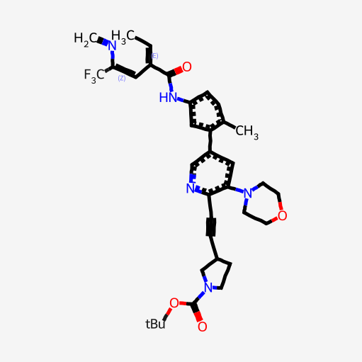 C=N/C(=C\C(=C/C)C(=O)Nc1ccc(C)c(-c2cnc(C#CC3CCN(C(=O)OC(C)(C)C)C3)c(N3CCOCC3)c2)c1)C(F)(F)F